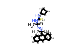 CCC(C)(N=NC(C)(C)c1c2ccccc2cc2ccccc12)NC(=S)NC1CCCC1